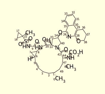 C[C@@H]1CC/C=C\[C@@H]2C[C@@]2(C(=O)NS(=O)(=O)C2(C)CC2)NC(=O)[C@@H]2C[C@@H](Oc3nc4c(c5ccccc35)CCCO4)CN2C(=O)[C@@H](NC(=O)O)[C@H](C)C1